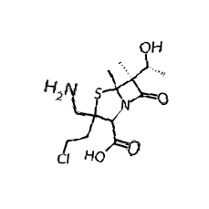 C[C@@H](O)[C@@]1(C)C(=O)N2C(C(=O)O)C(CN)(CCCl)S[C@@]21C